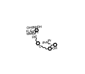 CC(C)N(CC[C@H](c1ccccc1)c1cc(CCCCOc2ccc(CCNC[C@H](O[Si](C)(C)C(C)(C)C)c3ccc(O)c(NC=O)c3)cc2)ccc1O)C(C)C